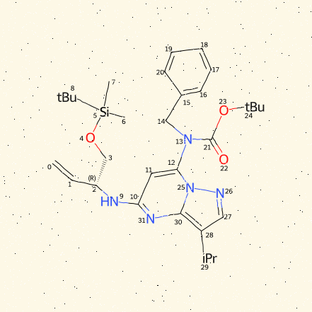 C=C[C@H](CO[Si](C)(C)C(C)(C)C)Nc1cc(N(Cc2ccccc2)C(=O)OC(C)(C)C)n2ncc(C(C)C)c2n1